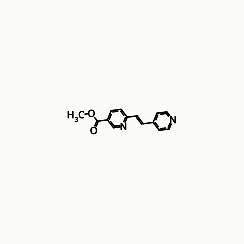 COC(=O)c1ccc(C=Cc2ccncc2)nc1